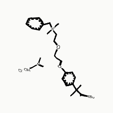 CC(C)(C)CC(C)(C)c1ccc(OCCOCC[N+](C)(C)Cc2ccccc2)cc1.CN(C)C.Cl.[Cl-]